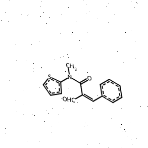 CN(C(=O)C([C]=O)=Cc1ccccc1)c1cccs1